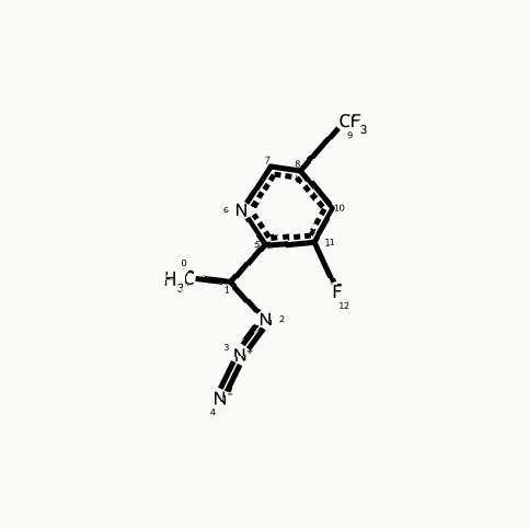 CC(N=[N+]=[N-])c1ncc(C(F)(F)F)cc1F